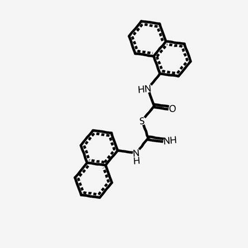 N=C(Nc1cccc2ccccc12)SC(=O)Nc1cccc2ccccc12